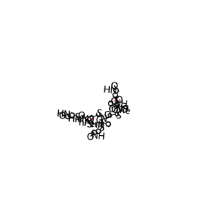 CCCCC[C@H](NSc1ccc2[nH]c(=O)ccc2c1)C(=O)N(Cc1cc(-c2csc(CN(Cc3cc(-c4csc(CN(Cc5ccco5)C(=O)[C@@H](NS(=O)(=O)c5ccc6[nH]c(=O)ccc6c5)c5ccccc5OC)c4)co3)C(=O)C(NSc3ccc4[nH]c(=O)ccc4c3)c3ccccc3)c2)co1)Cc1cccs1